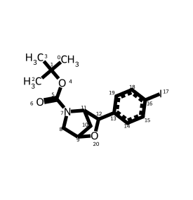 CC(C)(C)OC(=O)N1CC2CC1C(c1ccc(I)cc1)O2